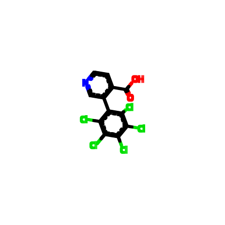 O=C(O)c1ccncc1-c1c(Cl)c(Cl)c(Cl)c(Cl)c1Cl